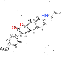 C=CCNc1ccc2cc3cc(-c4ccc(OC(C)=O)cc4)c(=O)oc3cc2c1